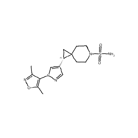 Cc1noc(C)c1-n1cc([C@@H]2CC23CCN(S(N)(=O)=O)CC3)cn1